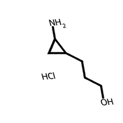 Cl.NC1CC1CCCO